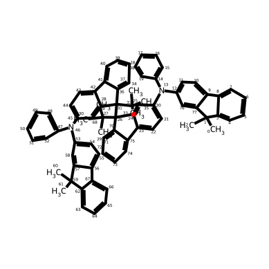 CC1(C)c2ccccc2-c2ccc(N(c3ccccc3)c3ccc4c(c3)C(C(C)(C)C)(C3(C(C)(C)C)c5ccccc5-c5ccc(N(c6ccccc6)c6ccc7c(c6)C(C)(C)c6ccccc6-7)cc53)c3ccccc3-4)cc21